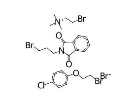 C[N+](C)(C)CCBr.Clc1ccc(OCCBr)cc1.O=C1c2ccccc2C(=O)N1CCCBr.[Br-]